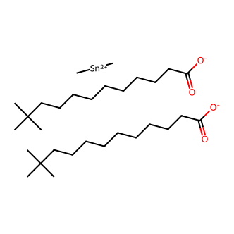 CC(C)(C)CCCCCCCCCC(=O)[O-].CC(C)(C)CCCCCCCCCC(=O)[O-].[CH3][Sn+2][CH3]